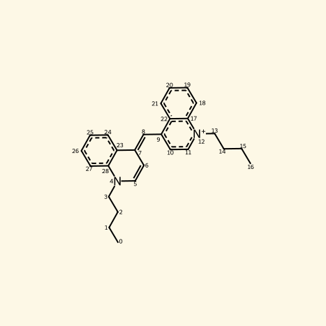 CCCCN1C=C/C(=C\c2cc[n+](CCCC)c3ccccc23)c2ccccc21